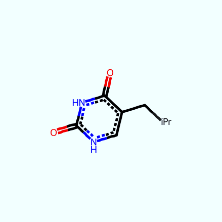 CC(C)Cc1c[nH]c(=O)[nH]c1=O